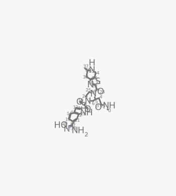 CNC(=O)CC1CN(S(=O)(=O)c2cc3ccc(/C(N)=N\O)cc3[nH]2)CCN1C(=O)c1nc2c(s1)CNC(C)C2